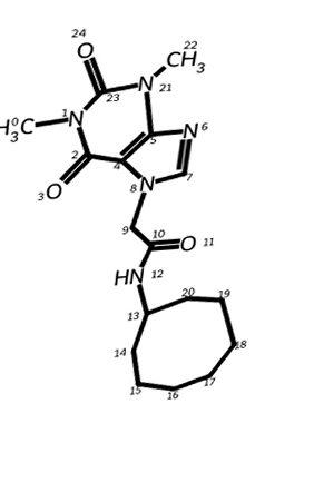 Cn1c(=O)c2c(ncn2CC(=O)NC2CCCCCCC2)n(C)c1=O